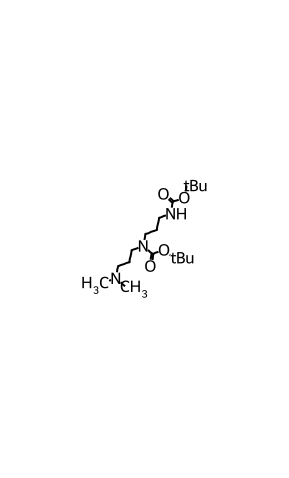 CN(C)CCCN(CCCNC(=O)OC(C)(C)C)C(=O)OC(C)(C)C